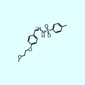 COCCOc1ccc(/C=N\NS(=O)(=O)c2ccc(C)cc2)cc1